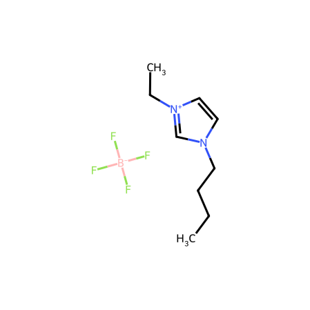 CCCCn1cc[n+](CC)c1.F[B-](F)(F)F